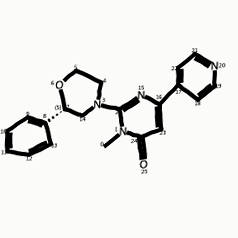 Cn1c(N2CCO[C@@H](c3ccccc3)C2)nc(-c2ccncc2)cc1=O